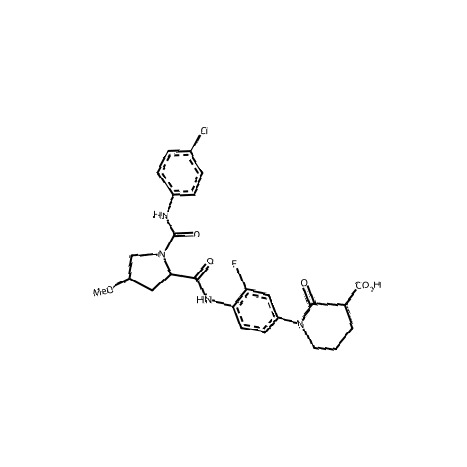 COC1CC(C(=O)Nc2ccc(N3CCCC(C(=O)O)C3=O)cc2F)N(C(=O)Nc2ccc(Cl)cc2)C1